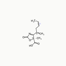 C/C=C\C[C@@H](C)C1=NC(=O)O[C@]1(C)C(=O)O